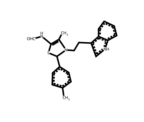 CC1=C(NC=O)SC(c2ccc(C)cc2)N1CCc1c[nH]c2ccccc12